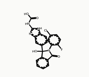 O=C(O)Nc1nc2cc(C3(O)c4ccccc4C(=O)N3c3cc(Cl)ccc3F)ccc2[nH]1